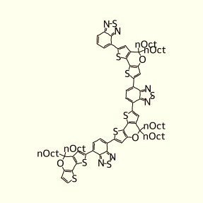 CCCCCCCCC1(CCCCCCCC)Oc2cc(-c3ccc(-c4cc5c(s4)-c4sc(-c6ccc(-c7cc8c(s7)-c7sccc7OC8(CCCCCCCC)CCCCCCCC)c7nsnc67)cc4OC5(CCCCCCCC)CCCCCCCC)c4nsnc34)sc2-c2sc(-c3cccc4nsnc34)cc21